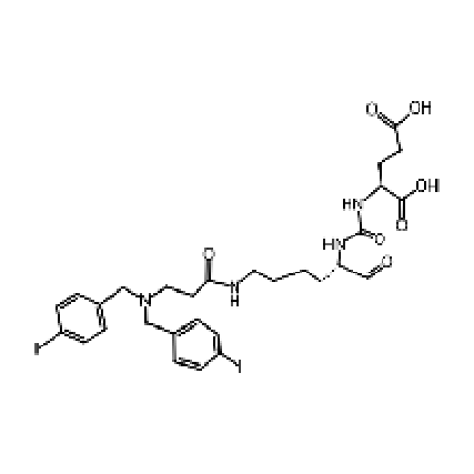 O=C[C@H](CCCCNC(=O)CCN(Cc1ccc(I)cc1)Cc1ccc(I)cc1)NC(=O)N[C@@H](CCC(=O)O)C(=O)O